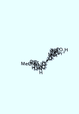 COC(=O)N[C@H](C(=O)N1CCC[C@H]1c1nc2c(ccc3cc(C#Cc4ccc5[nH]c([C@@H]6CCCN6C(=O)[C@@H](NC(=O)O)C(C)C)nc5c4)ccc32)[nH]1)C(C)C